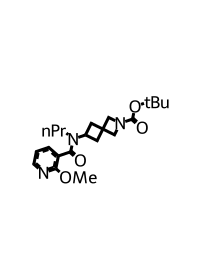 CCCN(C(=O)c1cccnc1OC)C1CC2(C1)CN(C(=O)OC(C)(C)C)C2